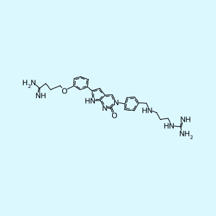 N=C(N)CCCOc1cccc(-c2cc3cn(-c4ccc(CNCCCNC(=N)N)cc4)c(=O)nc3[nH]2)c1